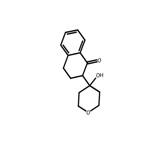 O=C1c2ccccc2CCC1C1(O)CCOCC1